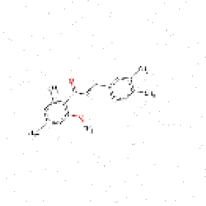 COc1cc(C)cc(C)c1C(=O)/C=C/c1ccc(C)c(C)c1